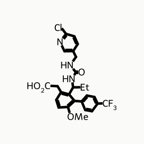 CCC(NC(=O)NCc1ccc(Cl)nc1)c1c(CC(=O)O)ccc(OC)c1-c1ccc(C(F)(F)F)cc1